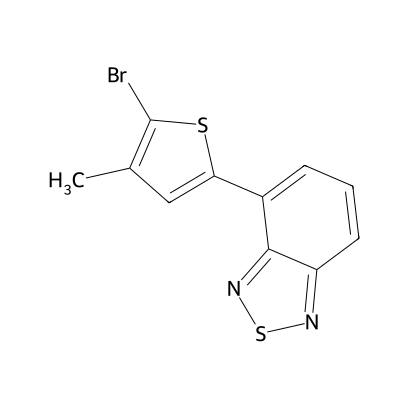 Cc1cc(-c2cccc3nsnc23)sc1Br